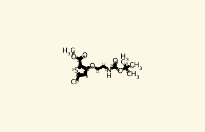 COC(=O)c1sc(Cl)cc1OCCNC(=O)OC(C)(C)C